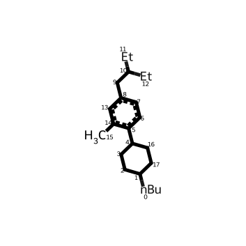 CCCCC1CCC(c2ccc(CC(CC)CC)cc2C)CC1